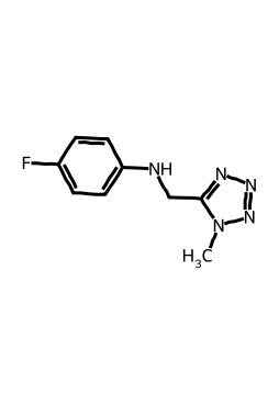 Cn1nnnc1CNc1ccc(F)cc1